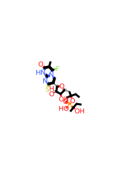 CCC(C)(C[C@H]1O[C@@H](c2cn3c(F)c(C)c(=O)[nH]c3nc2=S)[C@@H](O)C1O)OP(=O)(O)C(C)(O)CC